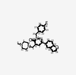 CN1CCN(Cc2cc(-c3ccc4occc4c3)nn(Cc3ccc(F)cc3)c2=O)CC1